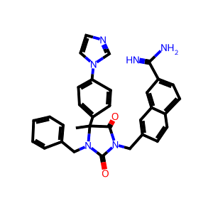 CC1(c2ccc(-n3ccnc3)cc2)C(=O)N(Cc2ccc3ccc(C(=N)N)cc3c2)C(=O)N1Cc1ccccc1